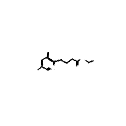 CCOC(=O)CCCc1ncc(Cl)cc1C